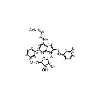 COC1O[C@H](Cn2c(COc3cccc(Cl)c3)cc3c(NCCNC(C)=O)nc(-c4ccccc4)nc32)[C@@H](O)[C@H]1O